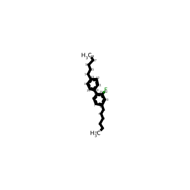 CCCCCCc1ccc(-c2ccc(CCCCC)cc2)c(F)c1